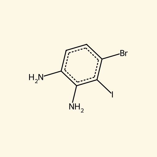 Nc1ccc(Br)c(I)c1N